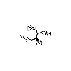 CCCCC(O)C(N)CCC